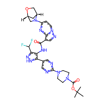 CC(C)(C)OC(=O)N1CCN(c2ncc(-c3[nH]nc(C(F)F)c3NC(=O)c3cnn4ccc(N5C[C@H]6C[C@@H]5CO6)nc34)cn2)CC1